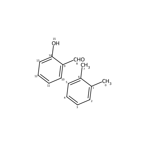 Cc1ccccc1C.O=Cc1ccccc1O